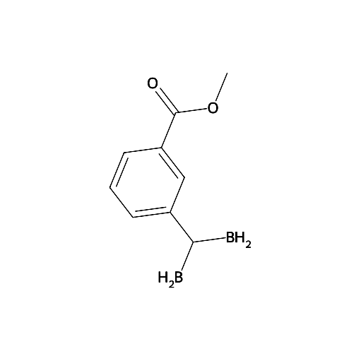 BC(B)c1cccc(C(=O)OC)c1